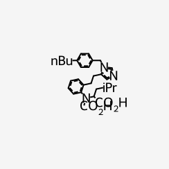 CCCCc1ccc(Cn2cncc2CCc2ccccc2N(C(=O)O)C(CC(C)C)C(=O)O)cc1